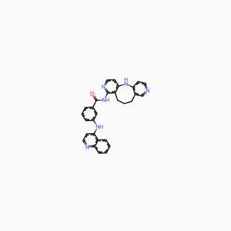 O=C(Nc1nccc2c1CCCc1cnccc1N2)c1cccc(Nc2ccnc3ccccc23)c1